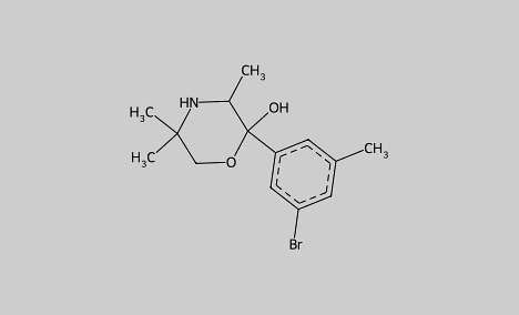 Cc1cc(Br)cc(C2(O)OCC(C)(C)NC2C)c1